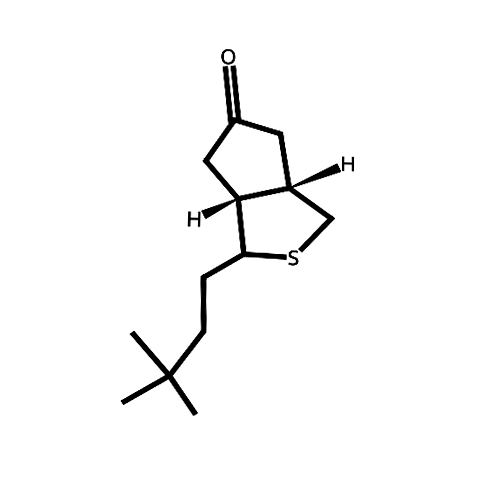 CC(C)(C)CCC1SC[C@H]2CC(=O)C[C@@H]12